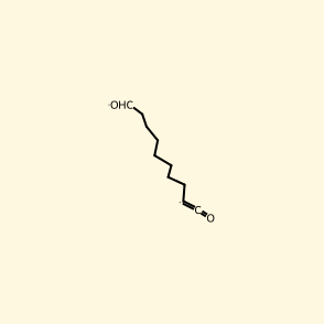 O=[C]CCCCCCC[C]=C=O